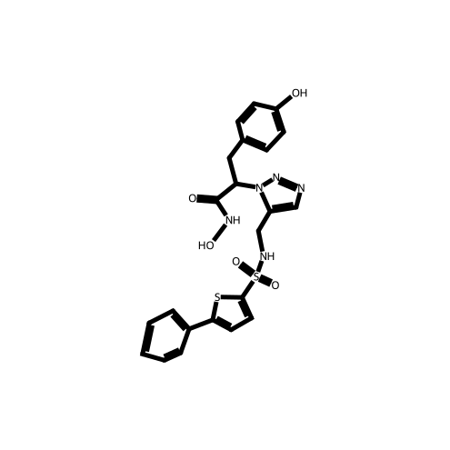 O=C(NO)C(Cc1ccc(O)cc1)n1nncc1CNS(=O)(=O)c1ccc(-c2ccccc2)s1